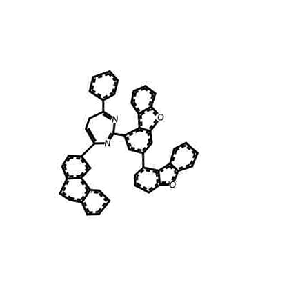 C1=C(c2ccc3ccc4ccccc4c3c2)N=C(c2cc(-c3cccc4oc5ccccc5c34)cc3oc4ccccc4c23)N=C(c2ccccc2)C1